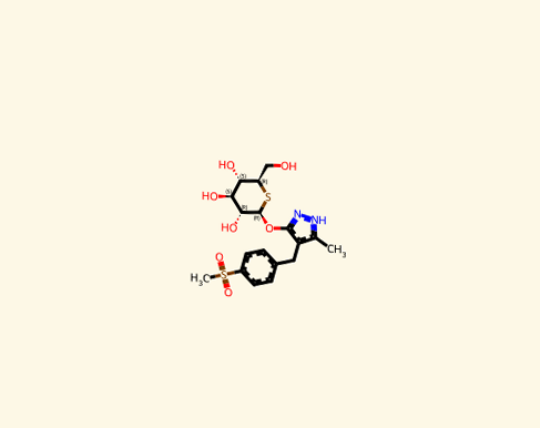 Cc1[nH]nc(O[C@@H]2S[C@H](CO)[C@@H](O)[C@H](O)[C@H]2O)c1Cc1ccc(S(C)(=O)=O)cc1